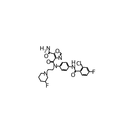 NC(=O)c1ocnc1C(=O)N(CCN1CCCC(F)C1)c1ccc(NC(=O)c2ccc(F)cc2Cl)cc1